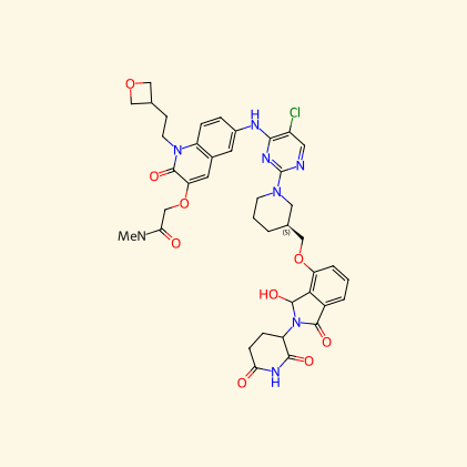 CNC(=O)COc1cc2cc(Nc3nc(N4CCC[C@H](COc5cccc6c5C(O)N(C5CCC(=O)NC5=O)C6=O)C4)ncc3Cl)ccc2n(CCC2COC2)c1=O